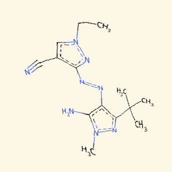 CCn1cc(C#N)c(N=Nc2c(C(C)(C)C)nn(C)c2N)n1